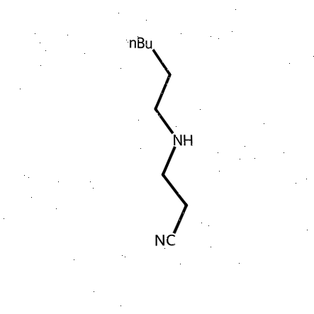 CCCCCCNCCC#N